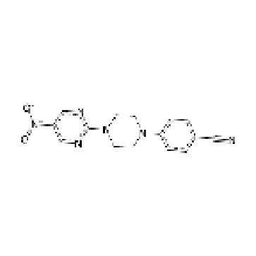 N#Cc1ccc(N2CCN(c3ncc([N+](=O)[O-])cn3)CC2)cc1